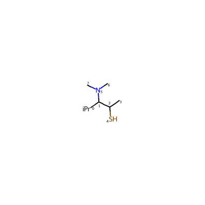 CC(C)C(C(C)S)N(C)C